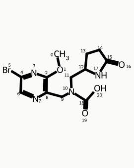 COc1nc(Br)cnc1CN(CC1CCC(=O)N1)C(=O)O